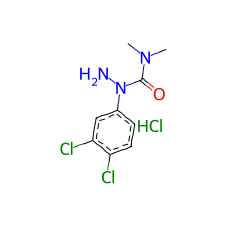 CN(C)C(=O)N(N)c1ccc(Cl)c(Cl)c1.Cl